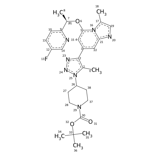 Cc1c(-c2cc(O[C@H](C)c3ccc(F)cn3)n3c(C)cnc3c2)nnn1C1CCN(C(=O)OC(C)(C)C)CC1